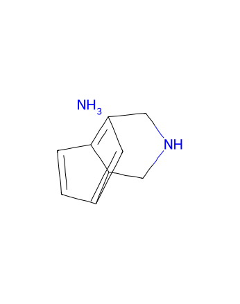 C1=CC2=C3C=C1C2CNC3.N